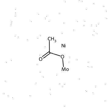 CC(=O)[O][Mo].[Ni]